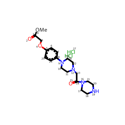 COC(=O)COc1ccc(N2CCN(CC(=O)N3CCNCC3)CC2)cc1.Cl.Cl